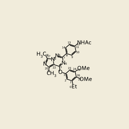 CCc1cc(Oc2nc(-c3ccc(NC(C)=O)cc3)nn3c(C)nc(C)c23)cc(OC)c1OC